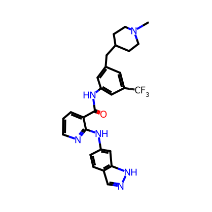 CN1CCC(Cc2cc(NC(=O)c3cccnc3Nc3ccc4cn[nH]c4c3)cc(C(F)(F)F)c2)CC1